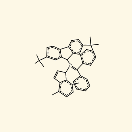 Cc1ccc(C)c2c1C=C[CH]2[Zr](=[C](c1ccccc1)c1ccccc1)[CH]1c2cc(C(C)(C)C)ccc2-c2ccc(C(C)(C)C)cc21